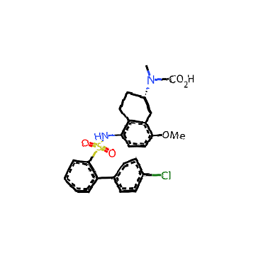 COc1ccc(NS(=O)(=O)c2ccccc2-c2ccc(Cl)cc2)c2c1C[C@@H](N(C)C(=O)O)CC2